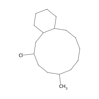 CC1CCCCCC2CCCCC2CC(Cl)CC1